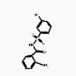 N#Cc1cccc(S(=O)(=O)NC(=O)c2ccccc2N)c1